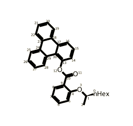 CCCCCC[C@@H](C)Oc1ccccc1C(=O)Oc1cccc2c3ccccc3c3ccccc3c12